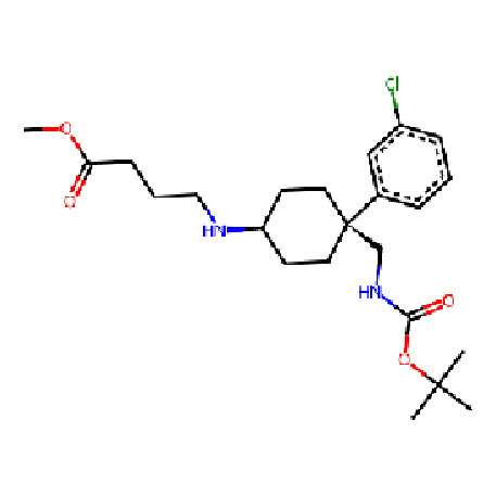 COC(=O)CCCN[C@H]1CC[C@](CNC(=O)OC(C)(C)C)(c2cccc(Cl)c2)CC1